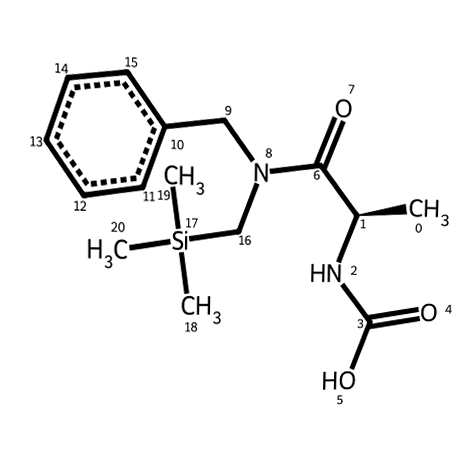 C[C@@H](NC(=O)O)C(=O)N(Cc1ccccc1)C[Si](C)(C)C